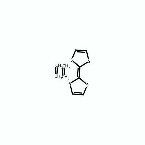 C1=CSC(=C2SC=CS2)S1.C=C.C=C